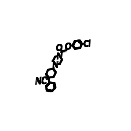 N#CC1(c2ccccc2)CCC(N2CCN(C(=O)COc3ccc(Cl)cc3)CC2)CC1